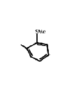 CSc1c[c]ccc1C